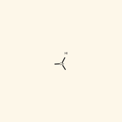 I.[CH3][Ge]([CH3])[CH3]